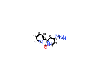 [N-]=[N+]=Nc1cc[n+]([O-])c(-c2ccccn2)c1